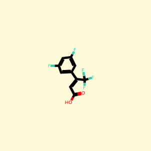 O=C(O)/C=C(/c1cc(F)cc(F)c1)C(F)(F)F